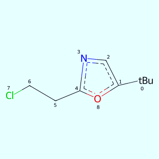 CC(C)(C)c1cnc(CCCl)o1